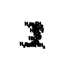 CN/C=C(\C(=N)c1cnn(CCOC)c1)c1cnc2ccc(N/C(N)=C/C(=C\N)C(C)C)nc2c1